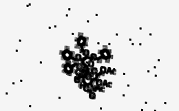 COC(=O)[C@@]1(OCC2OC(OCc3ccccc3)C(OCc3ccccc3)C(OCc3ccccc3)C2OCc2ccccc2)C[C@H]2OC(=O)N(C(C)=O)C2C([C@H](OC(C)=O)[C@@H](COC(C)=O)OC(C)=O)O1